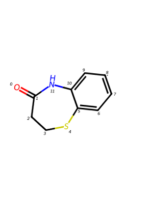 O=C1CCSc2cc[c]cc2N1